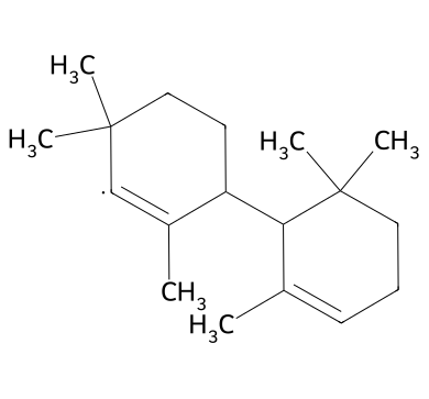 CC1=[C]C(C)(C)CCC1C1C(C)=CCCC1(C)C